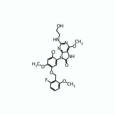 COc1cc(Cl)c(-n2c(=O)[nH]c3c(OC)nc(NCCO)nc32)cc1OCc1c(F)cccc1OC